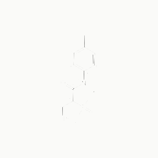 Cc1ccc(NC(=O)C(CC(C)C)P(=O)(O)O)cc1